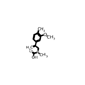 C=C(CN(C)C(=O)O)c1ccc(C)c(OC)c1